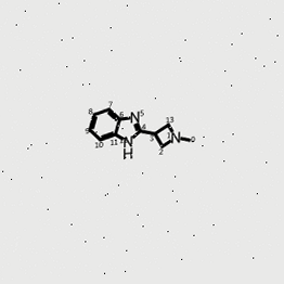 CN1CC(c2nc3ccccc3[nH]2)C1